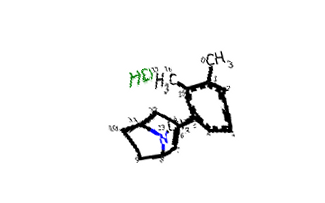 Cc1cccc(C2=CC3CCC(C2)N3C)c1C.Cl